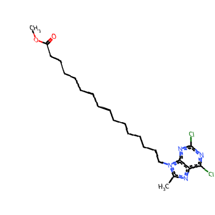 COC(=O)CCCCCCCCCCCCCCCn1c(C)nc2c(Cl)nc(Cl)nc21